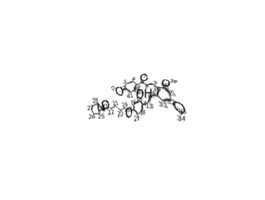 COc1ccc(C(=O)/C=C/c2c(/C=C/c3ccc(OCCCCON4CCCC4)cc3)cc(OC)cc2OC)c(O)c1